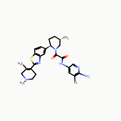 CCc1cc(NC(=O)C(=O)N2C[C@@H](C)CC[C@@H]2c2ccc3sc(C4=C(C)CN(C)CC4)nc3c2)cnc1N